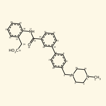 CN1CCN(Cc2ccc(-c3cccc(C(=O)Nc4ccccc4CC(=O)O)c3)cc2)CC1